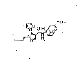 CC(C)(/C=C/n1ncc(C(=O)N[C@H]2C3CC4CC2C[C@](CO)(C4)C3)c1-n1cccn1)CF